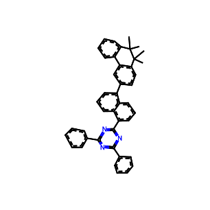 CC1(C)c2ccccc2-c2cc(-c3cccc4c(-c5nc(-c6ccccc6)nc(-c6ccccc6)n5)cccc34)ccc2C1(C)C